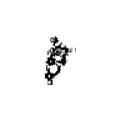 C=CC[C@H](C)[C@@H](C[C@@H]1CCO1)S(=O)(=O)NC(=O)c1ccc2c(c1)N(C[C@@H]1CC[C@H]1[C@@H](O)/C=C/CCC)CCCCc1cc(Cl)ccc1CO2